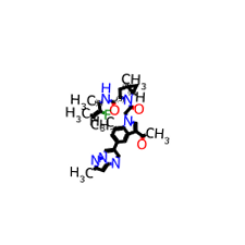 CC(=O)c1cn(CC(=O)N2[C@H](C(=O)N[C@@H](C)C(F)=C(C)C)C[C@@]3(C)C[C@@H]23)c2c(C)cc(-c3cnc4cc(C)nn4c3)cc12